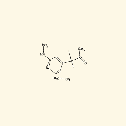 COC(=O)C(C)(C)c1ccnc(NN)c1.O=CO